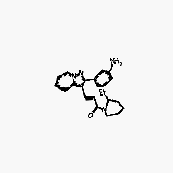 CCC1CCCCN1C(=O)C=Cc1c(-c2cccc(N)c2)nn2ccccc12